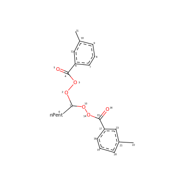 [CH2]CCCC[C](OOC(=O)c1cccc(C)c1)OOC(=O)c1cccc(C)c1